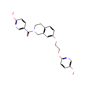 COc1ccc(OCCOc2ccc3c(c2)CN(C(=O)c2ccc(OC)nc2)CC3)nc1